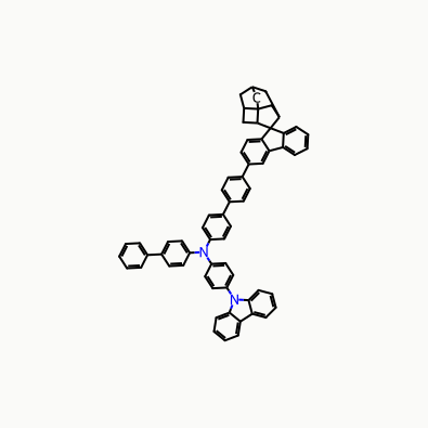 c1ccc(-c2ccc(N(c3ccc(-c4ccc(-c5ccc6c(c5)-c5ccccc5C65C6CC7CC8CC5C8(C7)C6)cc4)cc3)c3ccc(-n4c5ccccc5c5ccccc54)cc3)cc2)cc1